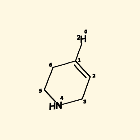 [2H]C1=CCNCC1